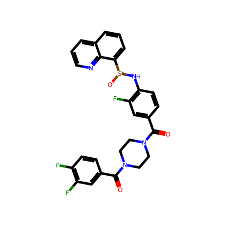 O=C(c1ccc(F)c(F)c1)N1CCN(C(=O)c2ccc(N[S+]([O-])c3cccc4cccnc34)c(F)c2)CC1